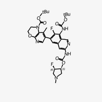 Cc1c(-c2cc3cc(NC(=O)O[C@H]4CN(C)C[C@H]4F)ncc3c(NC(=O)OC(C)(C)C)c2F)cnc2c1N(C(=O)OC(C)(C)C)CCO2